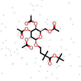 CC(=O)OC[C@H]1O[C@@H](OCCC(C)(C)C(=O)OC(C)(C)C)[C@H](OC(C)=O)[C@@H](OC(C)=O)[C@H]1OC(C)=O